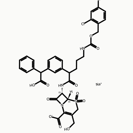 O=C(NCCCC(C(=O)N[C@H]1C(=O)N2C(C(=O)[O-])=C(CO)CS(=O)(=O)[C@@H]12)c1cccc(C(C(=O)O)c2ccccc2)c1)OCc1ccc(Cl)cc1Cl.[Na+]